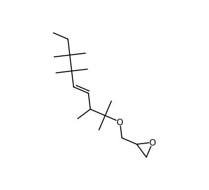 CCC(C)(C)C(C)(C)/C=C/C(C)C(C)(C)OCC1CO1